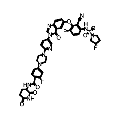 N#Cc1c(NS(=O)(=O)N2CC[C@@H](F)C2)ccc(F)c1Oc1ccc2ncn(-c3ccc(N4CCN(c5ccc(C(=O)NC6CCC(=O)NC6=O)c(F)c5)CC4)nc3)c(=O)c2c1